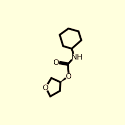 O=C(NC1CCCCC1)O[C@H]1CCOC1